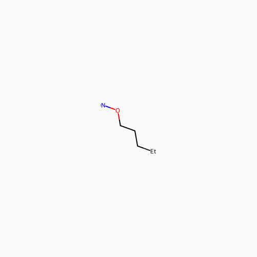 CCCCCO[N]